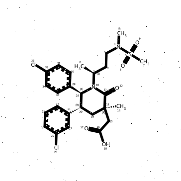 C[C@@H](CCN(C)S(C)(=O)=O)N1C(=O)[C@@](C)(CC(=O)O)C[C@H](c2cccc(Cl)c2)[C@H]1c1ccc(Cl)cc1